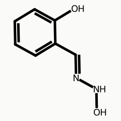 ONN=Cc1ccccc1O